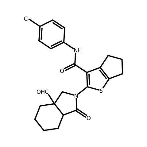 O=CC12CCCCC1C(=O)N(c1sc3c(c1C(=O)Nc1ccc(Cl)cc1)CCC3)C2